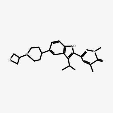 Cc1cc(-c2[nH]c3ccc(C4CCN(C5COC5)CC4)cc3c2C(C)C)nn(C)c1=O